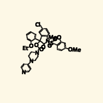 CCOc1ccccc1C1(OC(=O)N2CCN(c3ccncc3)CC2)C(=O)N(S(=O)(=O)c2ccc(OC)cc2OC)c2ccc(Cl)cc21